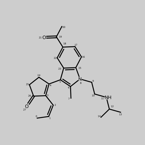 C/C=C\C1=C(c2c(C)n(CCNC(C)C)c3ccc(C(C)=O)cc23)CCC1=O